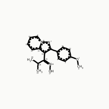 COc1ccc(-c2nn3ccccc3c2/C(=N/O)C(C)C)cc1